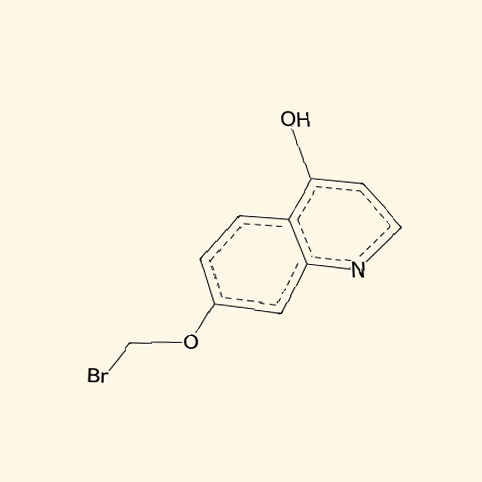 Oc1ccnc2cc(OCBr)ccc12